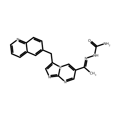 CC(=NNC(N)=O)c1cnc2ncc(Cc3ccc4ncccc4c3)n2c1